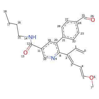 C=C/C(=C\C=C\OC)c1ncc(C(=O)NCCCC)cc1-c1ccc(C=O)cc1